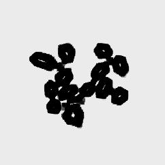 c1ccc(-c2cccc(-c3cc(N(c4ccccc4)c4ccccc4)ccc3-c3ccc(-c4nc5ccccc5nc4-c4ccc(-c5ccc(N(c6ccccc6)c6ccccc6)cc5-c5cccc(-c6ccccc6)c5)cc4)cc3)c2)cc1